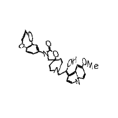 COc1ccc2nccc(C(O)CN3CCC4(CC3)CN(c3ccc5c(c3)OCCO5)C(=O)O4)c2c1